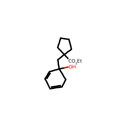 CCOC(=O)C1(CC2(O)C=CC=CC2)CCCC1